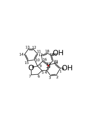 Oc1ccc(C2CCOC2(c2ccccc2)c2ccc(O)cc2)cc1